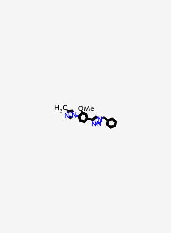 COc1cc(-c2cn(Cc3ccccc3)nn2)ccc1-n1cnc(C)c1